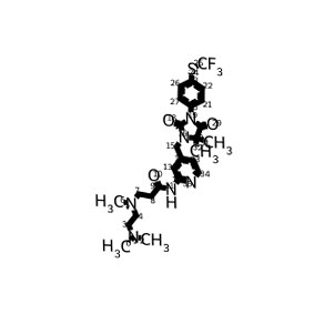 CN(C)CCN(C)CCC(=O)Nc1cc(CN2C(=O)N(c3ccc(SC(F)(F)F)cc3)C(=O)C2(C)C)ccn1